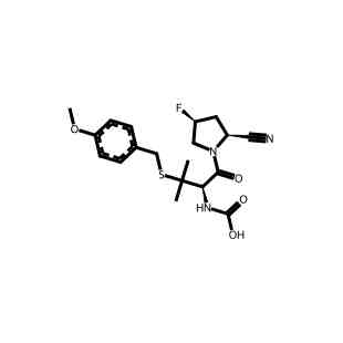 COc1ccc(CSC(C)(C)[C@H](NC(=O)O)C(=O)N2C[C@@H](F)C[C@H]2C#N)cc1